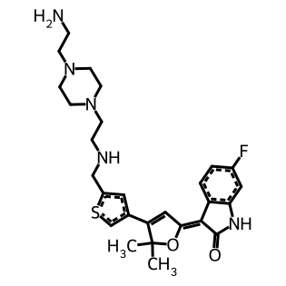 CC1(C)OC(=C2C(=O)Nc3cc(F)ccc32)C=C1c1csc(CNCCN2CCN(CCN)CC2)c1